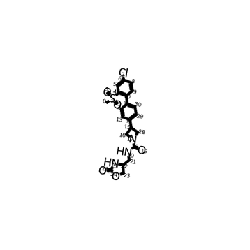 CS(=O)(=O)c1cc(Cl)ccc1-c1ccc(C2CN(C(=O)NCC3COC(=O)N3)C2)cc1